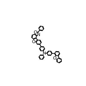 c1ccc(-c2nc3c(ccc4oc5cc(-c6ccc(N(c7ccccc7)c7ccc(-c8cccc9c8oc8ccccc89)cc7)cc6)ccc5c43)o2)cc1